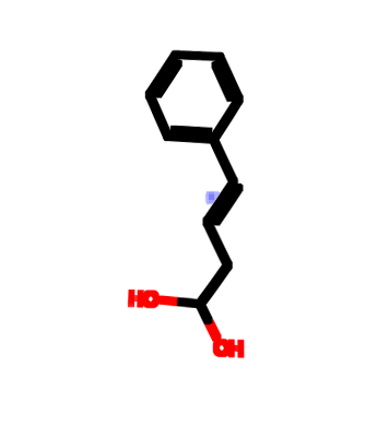 OC(O)C/C=C/c1ccccc1